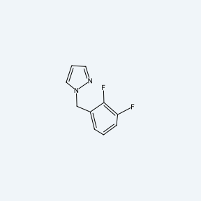 Fc1cccc(Cn2cccn2)c1F